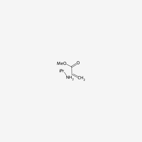 C=CC(=O)OC.CC(C)N